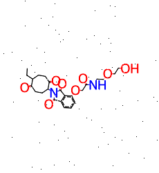 CCC1CCC(=O)C(N2C(=O)c3cccc(OCC(=O)NCCOCCO)c3C2=O)CCC1=O